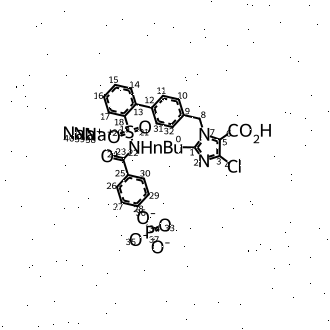 CCCCc1nc(Cl)c(C(=O)O)n1Cc1ccc(-c2ccccc2S(=O)(=O)NC(=O)c2ccccc2)cc1.O=P([O-])([O-])[O-].[Na+].[Na+].[Na+]